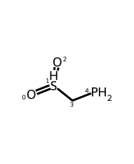 O=[SH](=O)CP